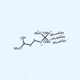 CCCO.CCCO.CCCO.COC(O)CCOC(OC)(OC)OC